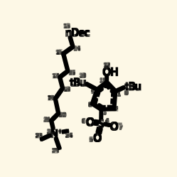 CC(C)(C)c1cc(S(=O)(=O)[O-])cc(C(C)(C)C)c1O.CCCCCCCCCCCCCCCCCC[N+](C)(C)C